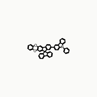 c1ccc(-n2c3ccccc3c3cc(-c4ccc5c(c4)C4(c6ccccc6-c6ccccc64)c4cc6c(cc4-5)Oc4ccccc4O6)ccc32)cc1